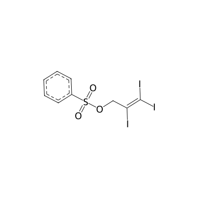 O=S(=O)(OCC(I)=C(I)I)c1ccccc1